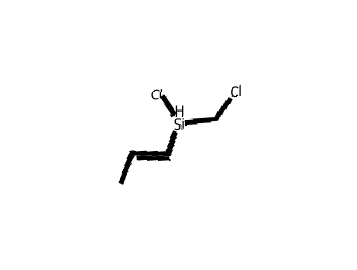 CC=C[SiH](Cl)CCl